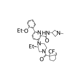 CCOc1ccccc1-c1ccc(N2CCN(C(=O)C3(C(F)(F)F)CCCC3)C[C@H]2CC)c(C(=O)NC2CN(C)C2)n1